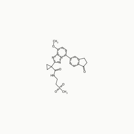 COc1ccc(-c2ccc3c(c2)CCC3=O)n2nc(C3(C(=O)NCCS(C)(=O)=O)CC3)nc12